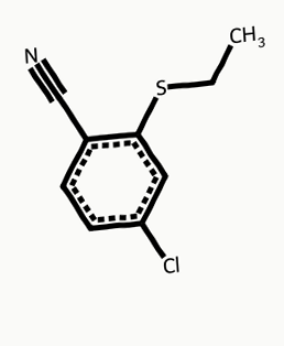 CCSc1cc(Cl)ccc1C#N